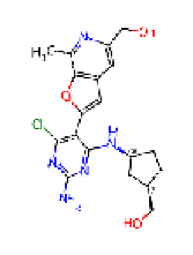 Cc1nc(CO)cc2cc(-c3c(Cl)nc(N)nc3N[C@H]3CC[C@@H](CO)C3)oc12